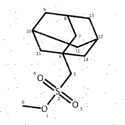 COS(=O)(=O)CC12CC3CC(CC(C3)C1)C2